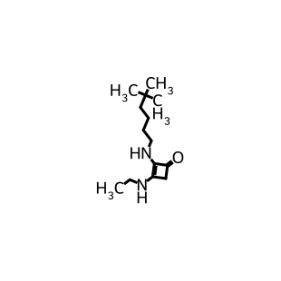 CCNC1=C(NCCCCC(C)(C)C)C(=O)C1